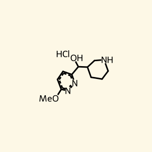 COc1ccc(C(O)C2CCCNC2)nn1.Cl